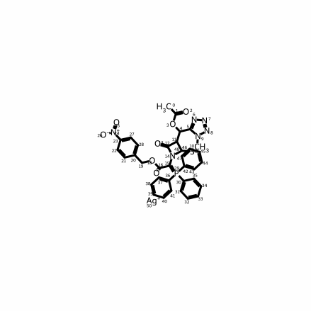 CC(=O)OC(c1nnnn1C)C1C(=O)N(C(C(=O)OCc2ccc([N+](=O)[O-])cc2)=P(c2ccccc2)(c2ccccc2)c2ccccc2)C1[S-].[Ag+]